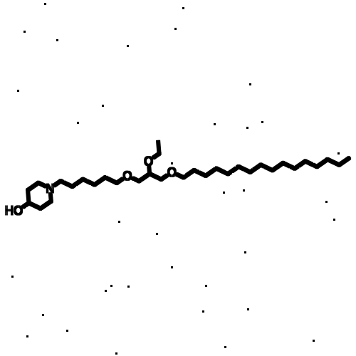 CCCCCCCCCCCCCCCCOCC(COCCCCCCN1CCC(O)CC1)OCC